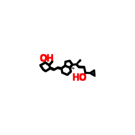 CC1/C(=C\C=C2/CCC[C@@]3(C)C2CCC3[C@@H](C)/C=C/C(O)C2CC2)CCC[C@@H]1O